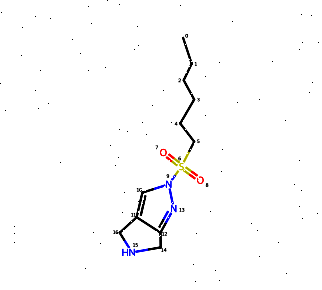 CCCCCCS(=O)(=O)n1cc2c(n1)CNC2